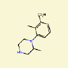 Cc1c(C(=O)O)cccc1N1CCNCC1C